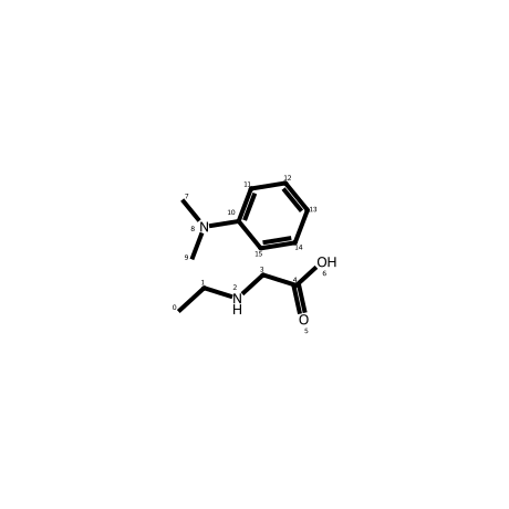 CCNCC(=O)O.CN(C)c1ccccc1